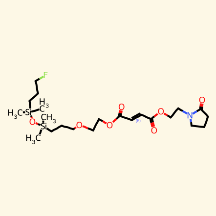 C[Si](C)(CCCF)O[Si](C)(C)CCCOCCOC(=O)/C=C/C(=O)OCCN1CCCC1=O